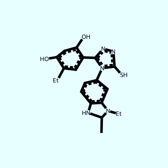 CCc1cc(-c2nnc(S)n2-c2ccc3c(c2)N(CC)C(C)N3)c(O)cc1O